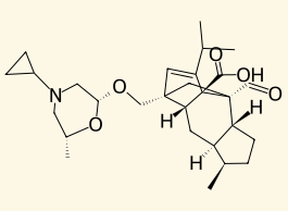 CC(C)C1=C[C@@]2(CO[C@H]3CN(C4CC4)C[C@@H](C)O3)C[C@@]3(C=O)[C@@H]4CC[C@@H](C)[C@H]4C[C@H]2[C@]13C(=O)O